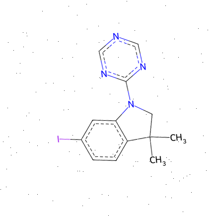 CC1(C)CN(c2ncncn2)c2cc(I)ccc21